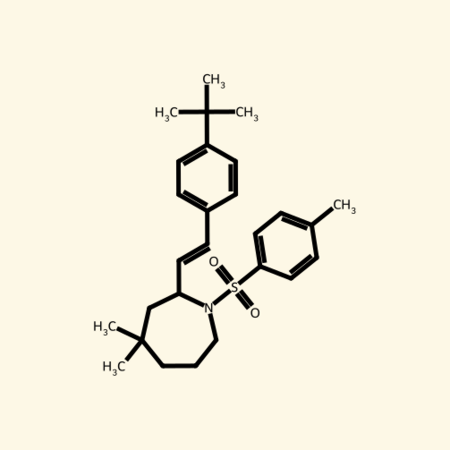 Cc1ccc(S(=O)(=O)N2CCCC(C)(C)CC2C=Cc2ccc(C(C)(C)C)cc2)cc1